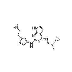 CC(/C=N/c1nc(Nc2cnn(CCN(C)C)c2)nc2[nH]ccc12)C1CC1